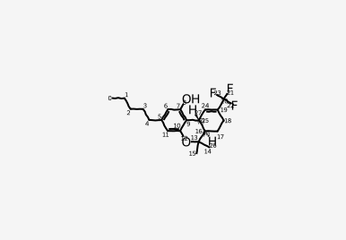 CCCCCc1cc(O)c2c(c1)OC(C)(C)[C@@H]1CCC(C(F)(F)F)=C[C@@H]21